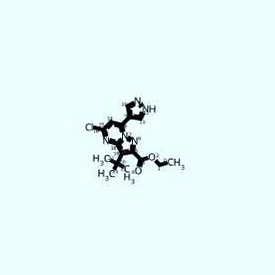 CCOC(=O)c1nn2c(-c3cn[nH]c3)cc(Cl)nc2c1C(C)(C)C